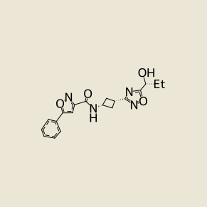 CC[C@@H](O)c1nc([C@H]2C[C@@H](NC(=O)c3cc(-c4ccccc4)on3)C2)no1